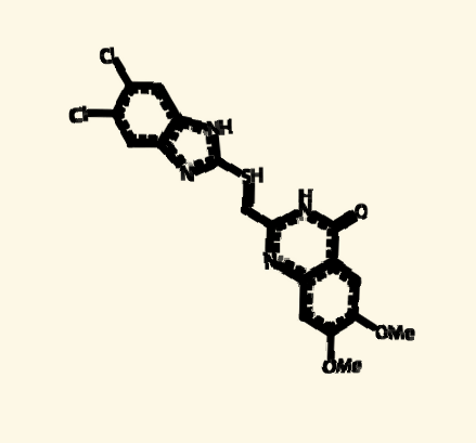 COc1cc2nc(C=[SH]c3nc4cc(Cl)c(Cl)cc4[nH]3)[nH]c(=O)c2cc1OC